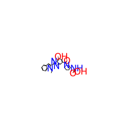 CCn1c(-c2nc3cc(C(=O)N4CCCC(NC(=O)O)C4)cc(O)c3n2C)cc2ccccc21